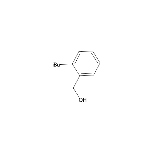 CCC(C)c1ccccc1CO